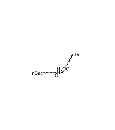 CCCCCCCCCCCCCCCCCC(=O)NCC(C)(C)COC(=O)CCCCCCCCCCCCCCCCC